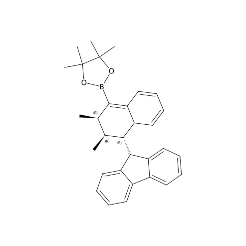 C[C@@H]1[C@@H](C2c3ccccc3-c3ccccc32)C2C=CC=CC2=C(B2OC(C)(C)C(C)(C)O2)[C@@H]1C